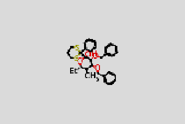 CC[C@H]1O[C@@](O)(C2(c3ccccc3)SCCCS2)[C@H](OCc2ccccc2)[C@@H](OCc2ccccc2)[C@@H]1C